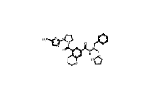 Cc1csc([C@H]2CCCN2C(=O)c2cc(C(=O)N[C@@H](Cc3ccccc3)C[C@H]3CCCN3)cc3c2CCCO3)n1